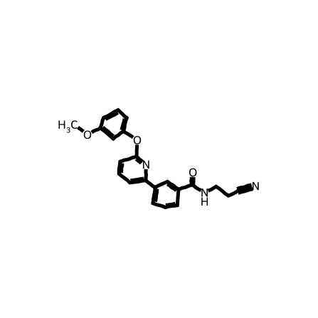 COc1cccc(Oc2cccc(-c3cccc(C(=O)NCCC#N)c3)n2)c1